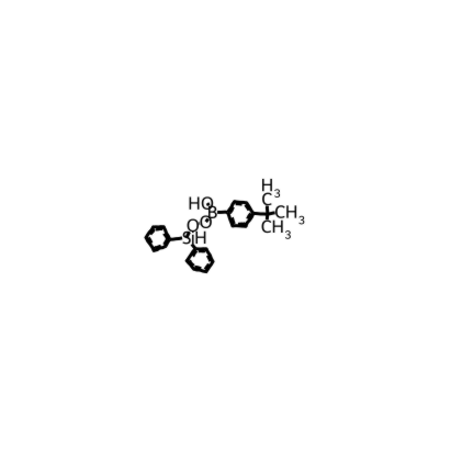 CC(C)(C)c1ccc(B(O)OO[SiH](c2ccccc2)c2ccccc2)cc1